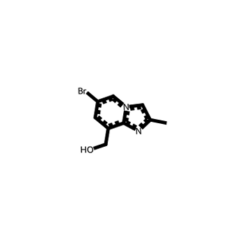 Cc1cn2cc(Br)cc(CO)c2n1